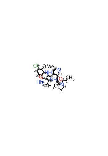 C=CC(=O)N1CCC[C@]1(C)C#Cc1cnccc1-c1[nH]c2c(c1Nc1cccc(Cl)c1OC)C(=O)NCC2